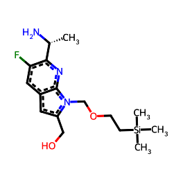 C[C@@H](N)c1nc2c(cc1F)cc(CO)n2COCC[Si](C)(C)C